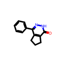 O=c1[nH]nc(-c2ccccc2)c2c1CCC2